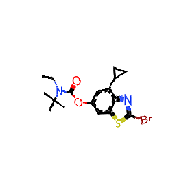 CCN(C(=O)Oc1cc(C2CC2)c2nc(Br)sc2c1)C(C)(C)C